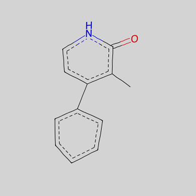 Cc1c(-c2ccccc2)cc[nH]c1=O